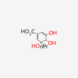 CCCC1(O)C=C(C(=O)O)C=C(O)C1O